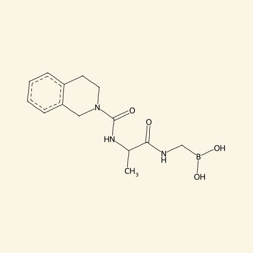 CC(NC(=O)N1CCc2ccccc2C1)C(=O)NCB(O)O